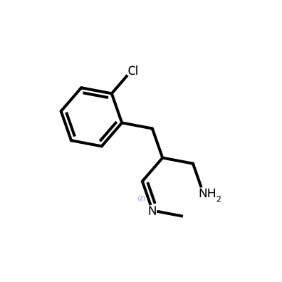 C/N=C\C(CN)Cc1ccccc1Cl